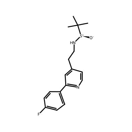 CC(C)(C)[S@@+]([O-])NCCc1ccnc(-c2ccc(F)cc2)c1